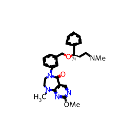 CNCC[C@@H](OCc1cccc(N2CCN(C)c3nc(OC)ncc3C2=O)c1)c1ccccc1